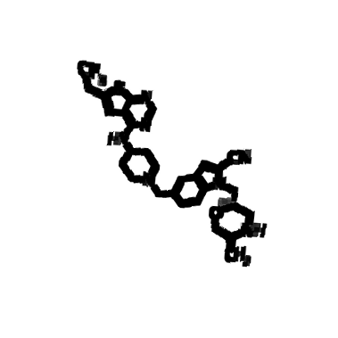 C=C1CO[C@H](Cn2c(C#N)cc3cc(CN4CCC(Nc5ncnc6sc(CC(F)(F)F)cc56)CC4)ccc32)CN1